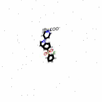 CC(C)(C)[N+]1(C(=O)[O-])CCC(N2CCc3cc(S(=O)(=O)c4ccccc4F)ccc32)CC1